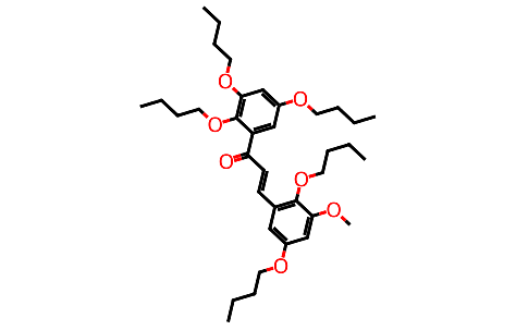 CCCCOc1cc(/C=C/C(=O)c2cc(OCCCC)cc(OCCCC)c2OCCCC)c(OCCCC)c(OC)c1